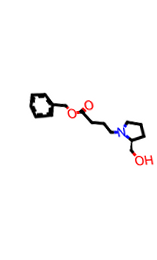 O=C(CCCN1CCC[C@H]1CO)OCc1ccccc1